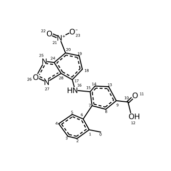 Cc1ccccc1-c1cc(C(=O)O)ccc1Nc1ccc([N+](=O)[O-])c2nonc12